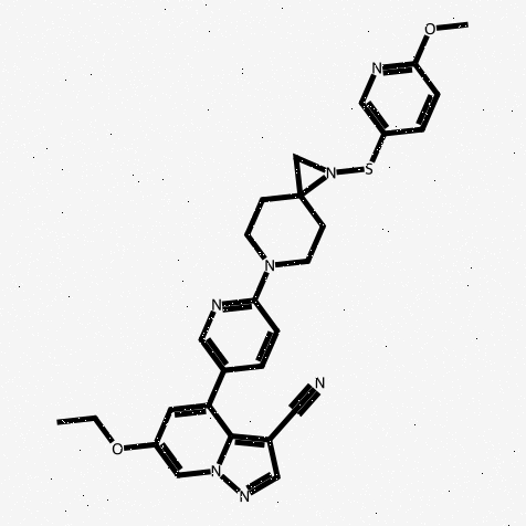 CCOc1cc(-c2ccc(N3CCC4(CC3)CN4Sc3ccc(OC)nc3)nc2)c2c(C#N)cnn2c1